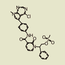 Cn1cc(-c2ccc(NC(=O)c3cccn(C(COS(C)(=O)=O)c4ccccc4)c3=O)cc2)c2c(Cl)ncnc21